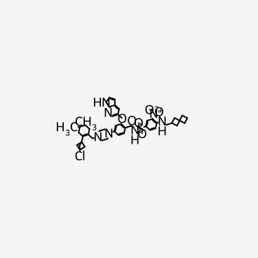 CC1(C)CCC(CN2CCN(c3ccc(C(=O)NS(=O)(=O)c4ccc(NCC5CC6(CCC6)C5)c([N+](=O)[O-])c4)c(Oc4cnc5[nH]ccc5c4)c3)CC2)=C(C23CC(Cl)(C2)C3)C1